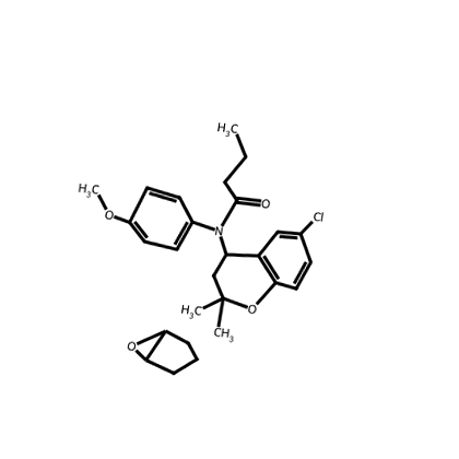 C1CC2OC2C1.CCCC(=O)N(c1ccc(OC)cc1)C1CC(C)(C)Oc2ccc(Cl)cc21